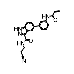 C=CC(=O)Nc1cccc(-c2ccc3[nH]nc(C(=O)NCCC#N)c3c2)c1